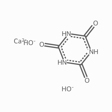 O=c1[nH]c(=O)[nH]c(=O)[nH]1.[Ca+2].[OH-].[OH-]